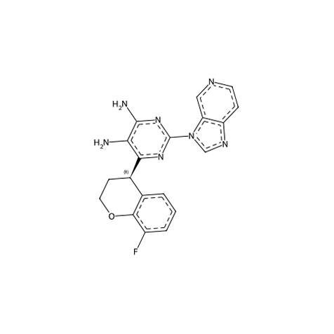 Nc1nc(-n2cnc3ccncc32)nc([C@@H]2CCOc3c(F)cccc32)c1N